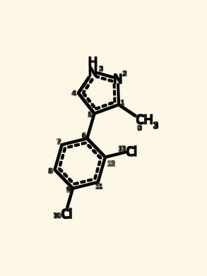 Cc1n[nH]cc1-c1ccc(Cl)cc1Cl